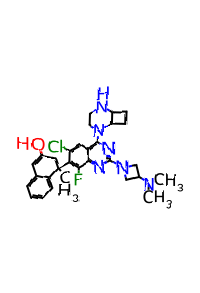 CN(C)C1CN(c2nc(N3CCNC4CCC43)c3cc(Cl)c(C4(C)CC(O)=Cc5ccccc54)c(F)c3n2)C1